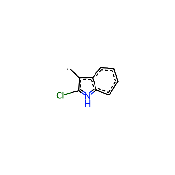 [CH2]c1c(Cl)[nH]c2ccccc12